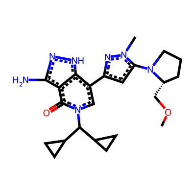 COC[C@H]1CCCN1c1cc(-c2cn(C(C3CC3)C3CC3)c(=O)c3c(N)n[nH]c23)nn1C